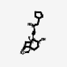 CC[C@@]12CC[C@H](O)[C@@H](C#C[C@@H](O)CC3CCCC3)[C@@H]1CC2=O